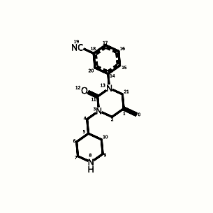 C=C1CN(CC2CCNCC2)C(=O)N(c2cccc(C#N)c2)C1